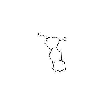 O=C1OP(Cl)Oc2cc3ccccc3cc21